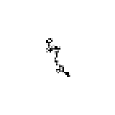 CC(CCC(C)(C)CNC(=O)OCC1CO1)CNC(=O)OCC1CO1